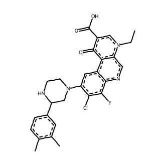 CCn1cc(C(=O)O)c(=O)c2c3cc(N4CCNC(c5ccc(C)c(C)c5)C4)c(Cl)c(F)c3ncc21